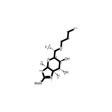 CNC1=N[C@@H]2[C@@H](O)[C@H](O)C([C@@H](OCCCF)C(F)(F)F)O[C@@H]2S1